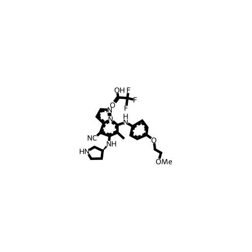 COCCOc1ccc(Nc2c(C)c(N[C@H]3CCNC3)c(C#N)c3ccnn23)cc1.O=C(O)C(F)(F)F